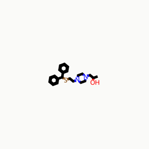 CC(O)CN1CCN(CCSC(c2ccccc2)c2ccccc2)CC1